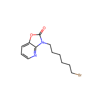 O=c1oc2cccnc2n1CCCCCCBr